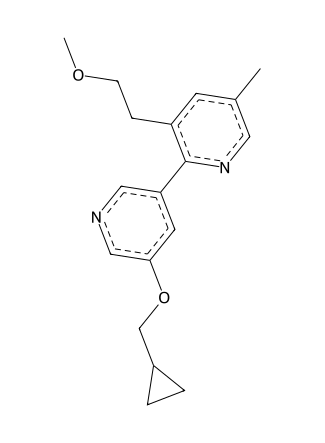 COCCc1cc(C)cnc1-c1cncc(OCC2CC2)c1